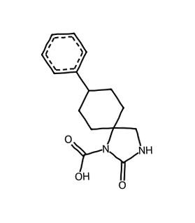 O=C(O)N1C(=O)NCC12CCC(c1ccccc1)CC2